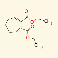 CCOC(=O)C1=CCCCC=C1C(=O)OCC